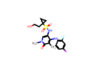 Cn1cc(NS(=O)(=O)C2(CCO)CC2)c(Nc2ccc(I)cc2F)c(C(F)(F)F)c1=O